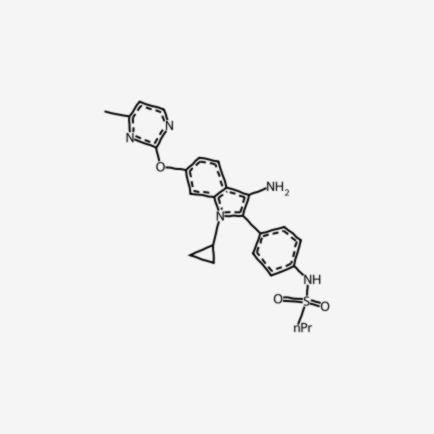 CCCS(=O)(=O)Nc1ccc(-c2c(N)c3ccc(Oc4nccc(C)n4)cc3n2C2CC2)cc1